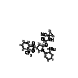 CC(C)(C)c1ccccc1N1CC(S(=O)(=O)c2ccccc2C(F)(F)F)CC1OC(=O)NC1(C#N)CC1